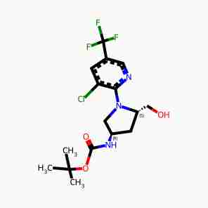 CC(C)(C)OC(=O)N[C@@H]1C[C@@H](CO)N(c2ncc(C(F)(F)F)cc2Cl)C1